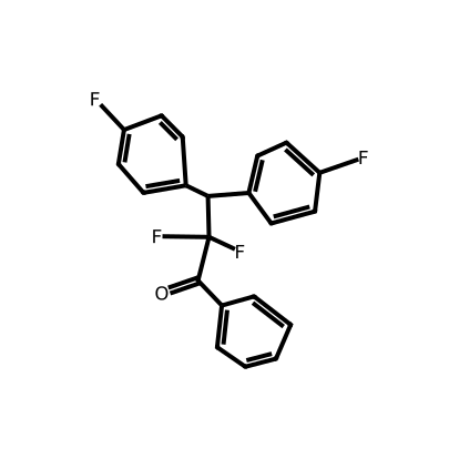 O=C(c1ccccc1)C(F)(F)C(c1ccc(F)cc1)c1ccc(F)cc1